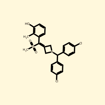 Cc1c(O)cccc1C(=C1CN(C(c2ccc(Cl)cc2)c2ccc(Cl)cc2)C1)S(C)(=O)=O